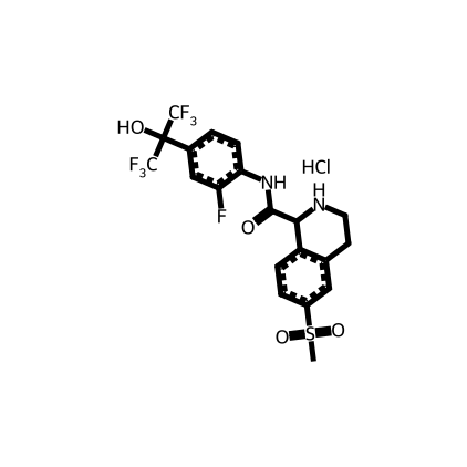 CS(=O)(=O)c1ccc2c(c1)CCNC2C(=O)Nc1ccc(C(O)(C(F)(F)F)C(F)(F)F)cc1F.Cl